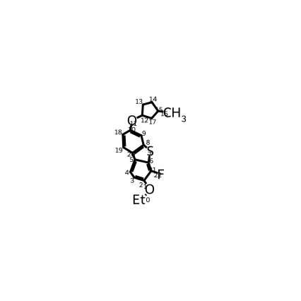 CCOc1ccc2c(sc3cc(OC4CCC(C)C4)ccc32)c1F